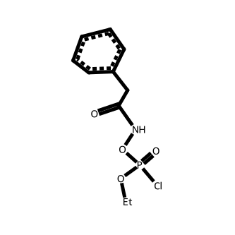 CCOP(=O)(Cl)ONC(=O)Cc1ccccc1